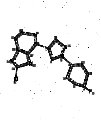 Fc1ccc(-n2cc(-c3cccn4nc(Cl)nc34)cn2)cc1